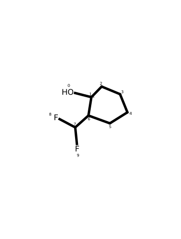 O[C]1CCCCC1C(F)F